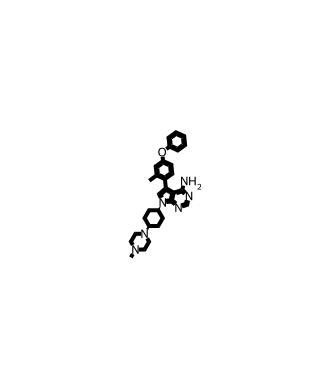 Cc1cc(Oc2ccccc2)ccc1-c1cn([C@H]2CC[C@H](N3CCN(C)CC3)CC2)c2ncnc(N)c12